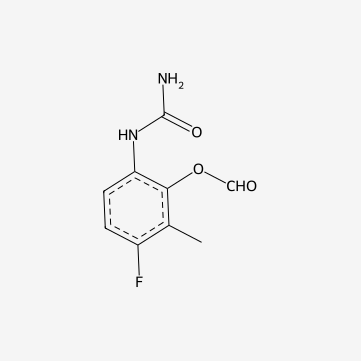 Cc1c(F)ccc(NC(N)=O)c1OC=O